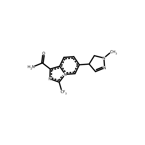 CN1CC(c2ccc3c(C(N)=O)nc(C(F)(F)F)n3c2)C=N1